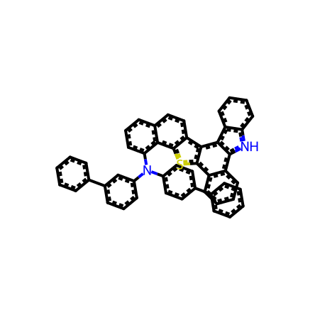 c1ccc(-c2ccc(N(c3cccc(-c4ccccc4)c3)c3cccc4ccc5c(sc6c7ccccc7c7[nH]c8ccccc8c7c56)c34)cc2)cc1